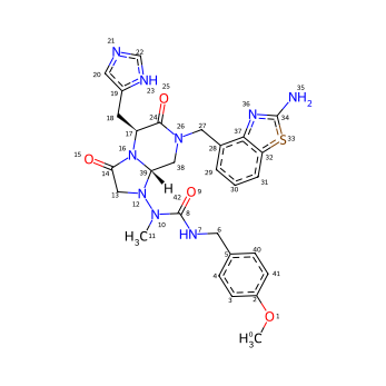 COc1ccc(CNC(=O)N(C)N2CC(=O)N3[C@@H](Cc4cnc[nH]4)C(=O)N(Cc4cccc5sc(N)nc45)C[C@@H]32)cc1